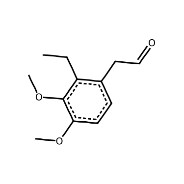 CCc1c(CC=O)ccc(OC)c1OC